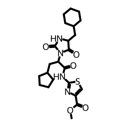 COC(=O)c1csc(NC(=O)C(CC2CCCC2)N2C(=O)NC(CC3CCCCC3)C2=O)n1